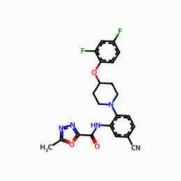 Cc1nnc(C(=O)Nc2cc(C#N)ccc2N2CCC(Oc3ccc(F)cc3F)CC2)o1